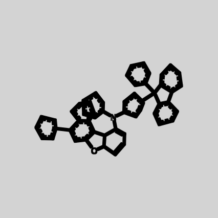 C1=CC2Oc3cc(-c4ccccc4)c4ccccc4c3C2C(N(c2ccccc2)c2ccc(C3(c4ccccc4)c4ccccc4-c4ccccc43)cc2)=C1